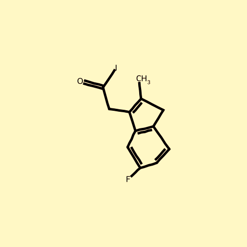 CC1=C(CC(=O)I)c2cc(F)ccc2C1